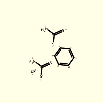 NC(=S)[S-].NC(=S)[S-].[Zn+2].c1ccccc1